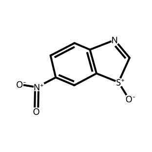 O=[N+]([O-])c1ccc2nc[s+]([O-])c2c1